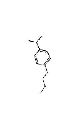 [CH2]CCCc1ccc(C(C)C)cc1